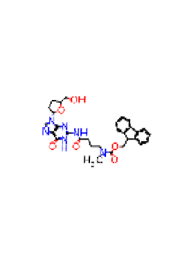 CN(CCCC(=O)Nc1nc2c(ncn2[C@H]2CC[C@@H](CO)O2)c(=O)[nH]1)C(=O)OCC1c2ccccc2-c2ccccc21